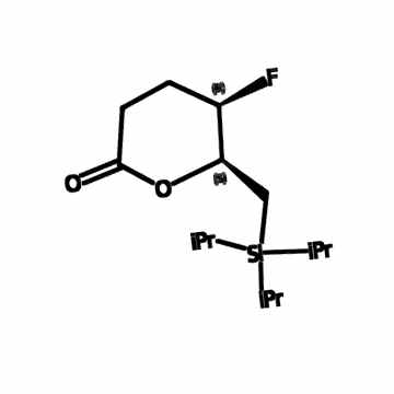 CC(C)[Si](C[C@H]1OC(=O)CC[C@H]1F)(C(C)C)C(C)C